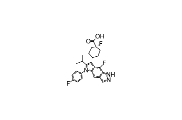 CC(C)c1c([C@H]2CC[C@](F)(C(=O)O)CC2)c2c(F)c3[nH]ncc3cc2n1-c1ccc(F)cc1